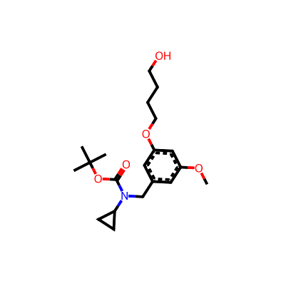 COc1cc(CN(C(=O)OC(C)(C)C)C2CC2)cc(OCCCCO)c1